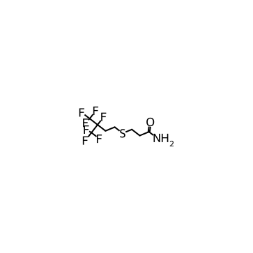 NC(=O)CCSCCC(F)(C(F)(F)F)C(F)(F)F